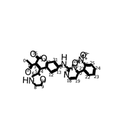 CC(=O)c1c(C2CNCCO2)c2ccc(Nc3nccc(-c4ccccc4[N+](=O)[O-])n3)cc2oc1=O